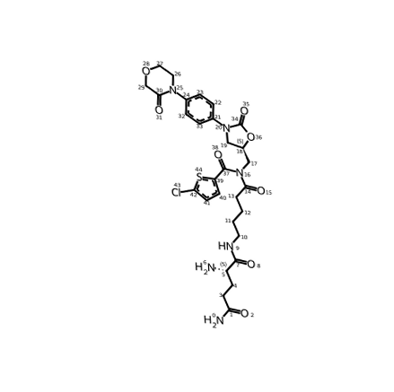 NC(=O)CC[C@H](N)C(=O)NCCCCC(=O)N(C[C@H]1CN(c2ccc(N3CCOCC3=O)cc2)C(=O)O1)C(=O)c1ccc(Cl)s1